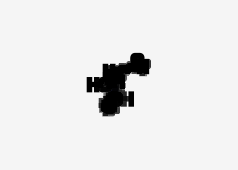 CN(C)C(=O)CCCCC1=C[C@H]2C[C@@H](O)[C@H](/C=C/[C@@](C)(O)Cc3ccccc3)[C@H]2C1